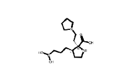 O=C(O)[C@@]1(CCN2CCCC2)NCC[C@H]1CCCB(O)O